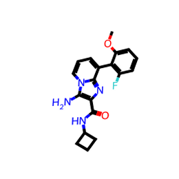 COc1cccc(F)c1-c1cccn2c(N)c(C(=O)NC3CCC3)nc12